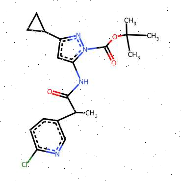 CC(C(=O)Nc1cc(C2CC2)nn1C(=O)OC(C)(C)C)c1ccc(Cl)nc1